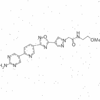 COCCNC(=O)Cn1cc(-c2nc(-c3ccc(-c4cnc(N)nc4)nc3)no2)cn1